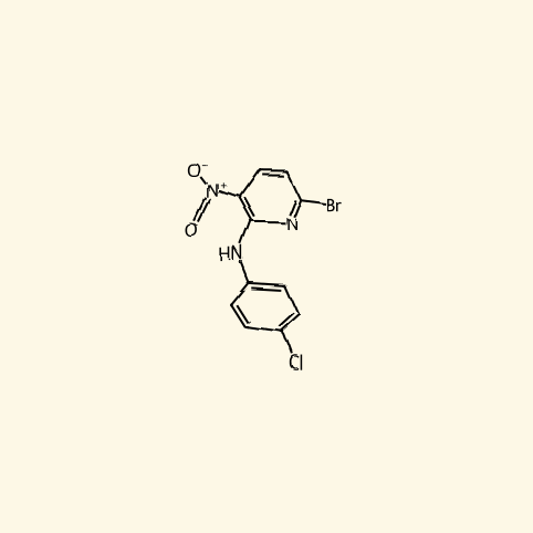 O=[N+]([O-])c1ccc(Br)nc1Nc1ccc(Cl)cc1